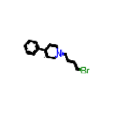 BrCCCCN1C[CH][C](c2ccccc2)CC1